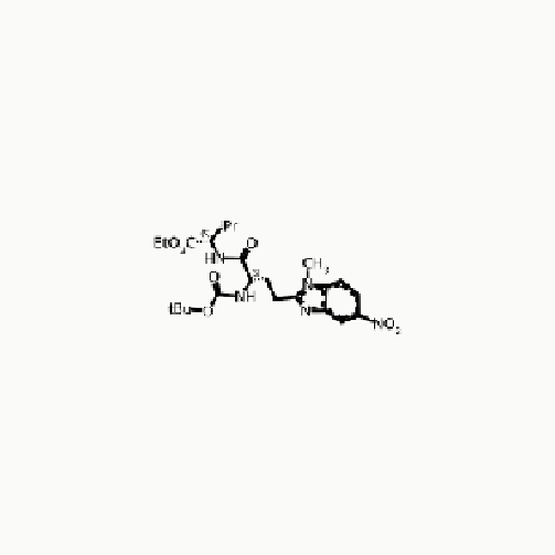 CCOC(=O)[C@@H](NC(=O)[C@H](CCc1nc2cc([N+](=O)[O-])ccc2n1C)NC(=O)OC(C)(C)C)C(C)C